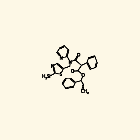 C=CC(OC(=O)C(C(=O)N(Cc1cnc([SiH3])s1)c1ccccn1)c1ccccc1)c1ccccc1